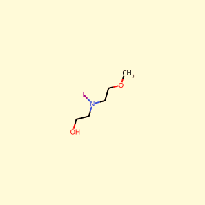 COCCN(I)CCO